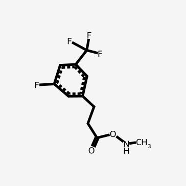 CNOC(=O)CCc1cc(F)cc(C(F)(F)F)c1